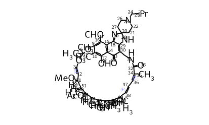 CO[C@H]1/C=C/OC(C)(C)Oc2c(C)c(O)c3c(c2C=O)C2=NC4(CCN(CC(C)C)CC4)NC2=C(NC(=O)/C(C)=C\C=C\[C@H](C)[C@H](O)[C@@H](C)[C@@H](O)[C@@H](C)[C@H](OC(C)=O)[C@@H]1C)C3=O